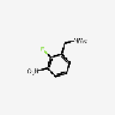 CNCc1cccc([N+](=O)[O-])c1F